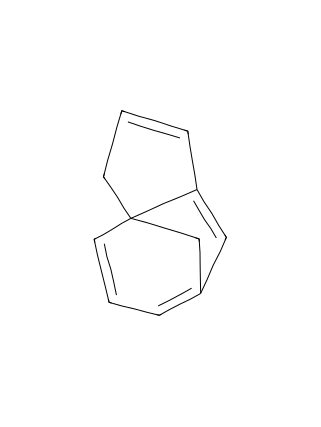 C1=CC23CC=CC2=CC(=C1)C3